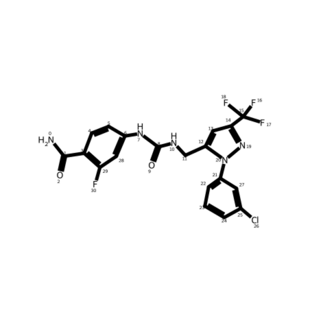 NC(=O)c1ccc(NC(=O)NCc2cc(C(F)(F)F)nn2-c2cccc(Cl)c2)cc1F